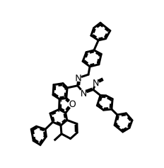 C=N/C(=N\C(=N/Cc1ccc(-c2ccccc2)cc1)c1cccc2c1oc1c3c(c(-c4ccccc4)cc12)C(C)CC=C3)c1ccc(-c2ccccc2)cc1